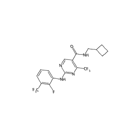 O=C(NCC1CCC1)c1cnc(Nc2cccc(C(F)(F)F)c2F)nc1C(F)(F)F